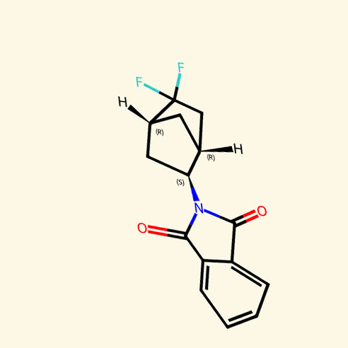 O=C1c2ccccc2C(=O)N1[C@H]1C[C@H]2C[C@@H]1CC2(F)F